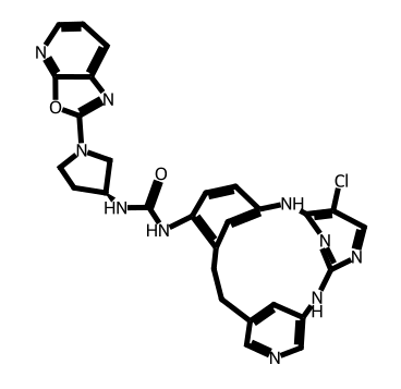 O=C(Nc1ccc2cc1CCc1cncc(c1)Nc1ncc(Cl)c(n1)N2)N[C@H]1CCN(c2nc3cccnc3o2)C1